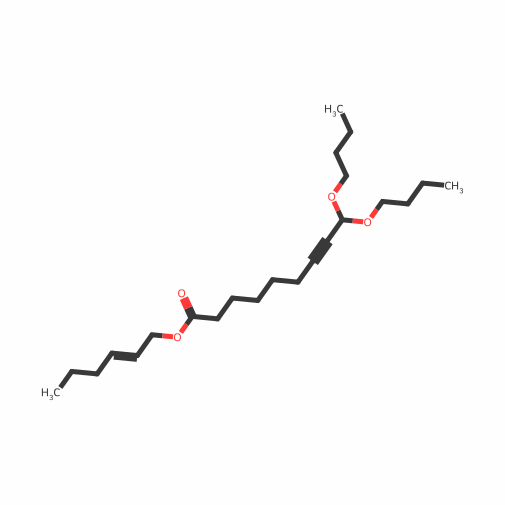 CCCC=CCOC(=O)CCCCCC#CC(OCCCC)OCCCC